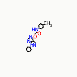 Cc1ccc(NC(=O)COc2ncnc3c2cnn3-c2ccccc2)cc1